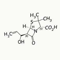 C=CC(O)[C@@H]1C(=O)N2[C@@H]1SC(C)(C)[C@@H]2C(=O)O